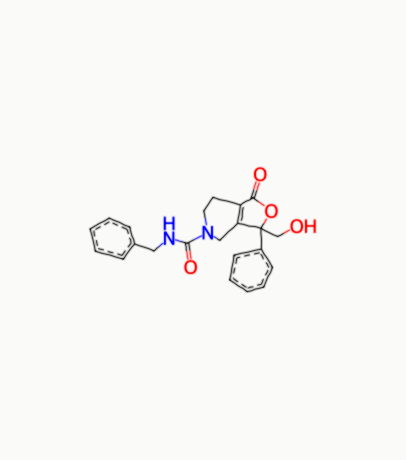 O=C1OC(CO)(c2ccccc2)C2=C1CCN(C(=O)NCc1ccccc1)C2